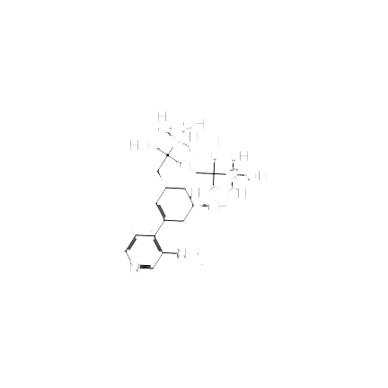 C[C@H]1CC(c2ccncc2[N+](=O)[O-])=C[C@@H](CC(C)(C)[Si](C)(C)O)[C@@H]1CC(C)(C)[Si](C)(C)O